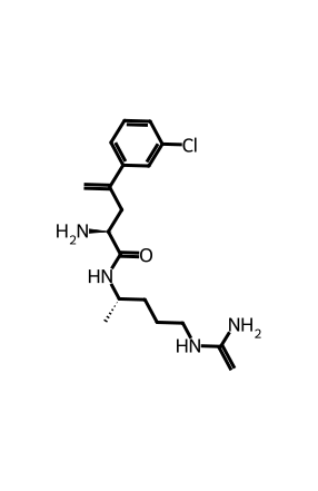 C=C(N)NCCC[C@H](C)NC(=O)[C@@H](N)CC(=C)c1cccc(Cl)c1